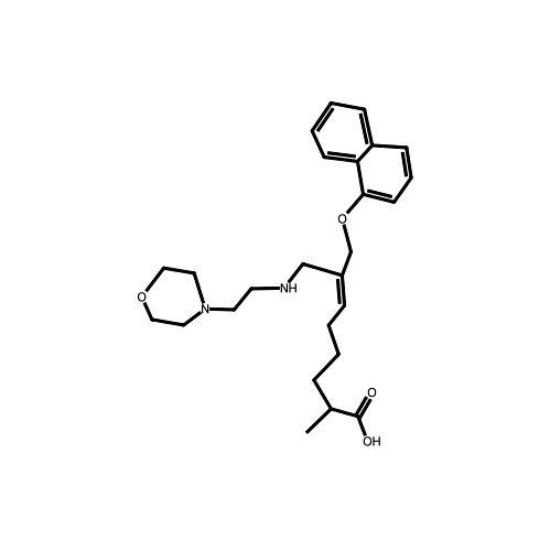 CC(CCCC=C(CNCCN1CCOCC1)COc1cccc2ccccc12)C(=O)O